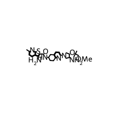 COCC(C)(C)OC1CN(c2ccc3c(n2)CCC(NC(=O)c2sc4nc(C)ccc4c2N)C3)CC1N